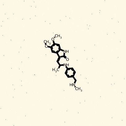 CNCc1ccc(NC(C)C=C2C(=O)Nc3cc(OC)c(OC)cc32)cc1